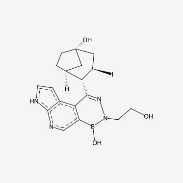 OCCN1N=C([C@@H]2[C@H]3CC[C@](O)(C3)C[C@H]2I)c2c(cnc3[nH]ccc23)B1O